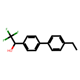 CCc1ccc(-c2ccc(C(O)C(F)(F)F)cc2)cc1